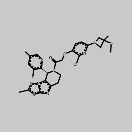 COC1(C)CN(c2ccc(OCC(=O)N3CCc4nc5sc(C)nn5c4[C@@H]3c3ncc(C)cc3F)c(Cl)n2)C1